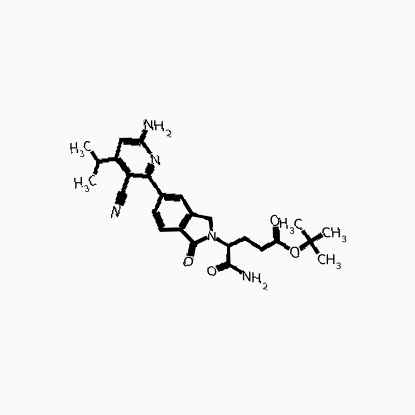 CC(C)c1cc(N)nc(-c2ccc3c(c2)CN(C(CCC(=O)OC(C)(C)C)C(N)=O)C3=O)c1C#N